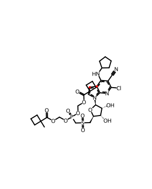 CC1(C(=O)OCOP(=O)(CS(=O)(=O)C[C@H]2O[C@@H](n3ccc4c(NC5CCCC5)c(C#N)c(Cl)nc43)[C@H](O)[C@@H]2O)OCOC(=O)C2(C)CCC2)CCC1